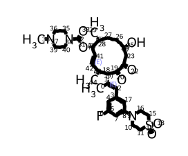 C/C(=C\c1cc(F)cc(N2CCS(=O)(=O)CC2)c1)[C@H]1C(=O)C(=O)C[C@H](O)CC[C@H](C)[C@@H](OC(=O)N2CCN(C)CC2)/C=C/[C@@H]1C